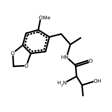 COc1cc2c(cc1CC(C)NC(=O)C(N)C(C)O)OCO2